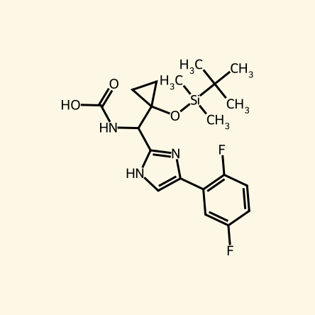 CC(C)(C)[Si](C)(C)OC1(C(NC(=O)O)c2nc(-c3cc(F)ccc3F)c[nH]2)CC1